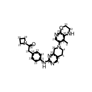 Cc1c(N2CCc3cnc(Nc4ccc(CC(=O)N5CCC5)cc4)nc3C2)cnc2c1NCCO2